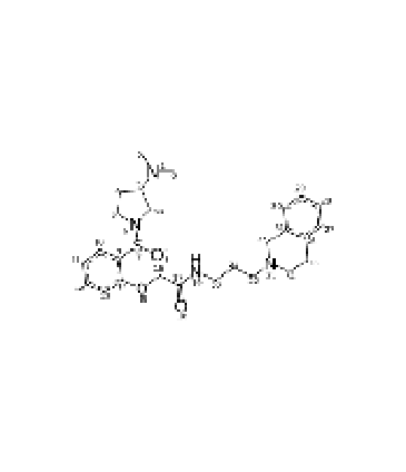 CN(C)C1CCN([S+]([O-])c2ccccc2OCC(=O)NCCCN2CCc3ccccc3C2)C1